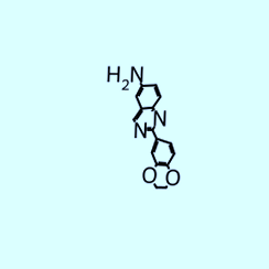 Nc1ccc2nc(-c3ccc4c(c3)OCCO4)ncc2c1